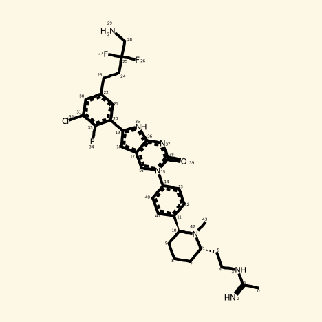 CC(=N)NCC[C@@H]1CCC[C@@H](c2ccc(-n3cc4cc(-c5cc(CCC(F)(F)CN)cc(Cl)c5F)[nH]c4nc3=O)cc2)N1C